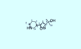 C[C@@H]1CC[C@@H](c2cc(C(C)(C)O)no2)CN1